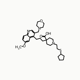 COc1ccc2ncc(CN3CCOCC3)c(CCCC3(C(=O)O)CCN(CCSC4CCCC4)CC3)c2c1